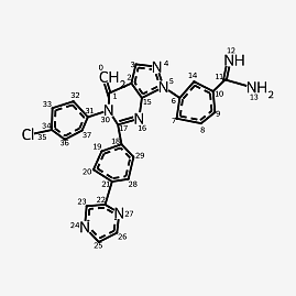 C=C1c2cnn(-c3cccc(C(=N)N)c3)c2N=C(c2ccc(-c3cnccn3)cc2)N1c1ccc(Cl)cc1